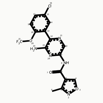 Cc1nocc1C(=O)Nc1cnc(-c2cc(Cl)ccc2OC(F)(F)F)c(N)n1